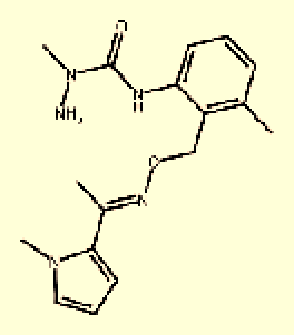 CC(=NOCc1c(C)cccc1NC(=O)N(C)N)c1cccn1C